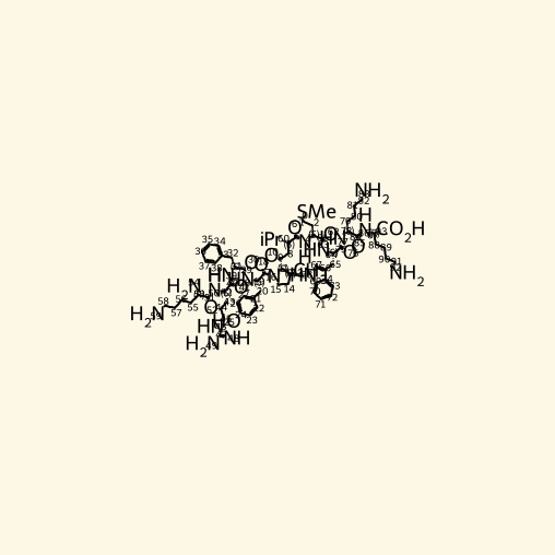 CSCC[C@H](NC(=O)[C@@H](CC(=O)[C@@H]1[C@H](C)CCN1C(=O)[C@H](Cc1ccc(O)cc1)NC(=O)[C@H](Cc1ccccc1)NC(=O)[C@H](CCCNC(=N)N)NC(=O)[C@H](N)CCCCN)C(C)C)C(=O)N[C@@H](Cc1c[nH]c2ccccc12)C(=O)N[C@@H](CCCCN)C(=O)N[C@H](CCCCN)C(=O)O